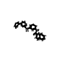 O=C(Nc1cccc(Nc2nccc(-c3cccnc3)n2)c1)c1ccc2cnccc2n1